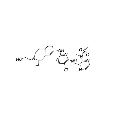 CN(c1nccnc1CNc1nc(Nc2ccc3c(c2)CC2(CC2)N(CCO)CC3)ncc1Cl)S(C)(=O)=O